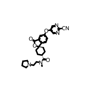 CN(CCN1CCCC1)C(=O)[C@H]1CC[C@@]2(CC1)OC(=O)c1cc(Oc3cnc(C#N)nc3)ccc12